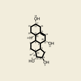 C[C@]12CCC3C(C1C[C@@H](O)[C@@H]2O)[C@@H](O)C=C1C[C@@H](O)CC[C@@H]13